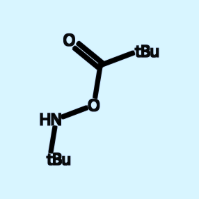 CC(C)(C)NOC(=O)C(C)(C)C